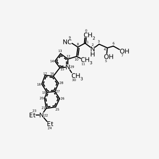 C=C(NCC(O)CO)/C(C#N)=C(\C)c1ccc(-c2ccc3cc(N(CC)CC)ccc3c2)n1C